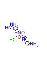 CCO[C@@H](C(=O)NCc1ccc(C(=N)N)cc1)n1ccc(-c2cccc(N)c2)n1.Cl